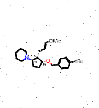 COC=CC[C@H]1[C@H](N2CCCCC2)CC[C@H]1OCc1ccc(C(C)(C)C)cc1